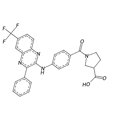 O=C(O)C1CCN(C(=O)c2ccc(Nc3nc4ccc(C(F)(F)F)cc4nc3-c3ccccc3)cc2)C1